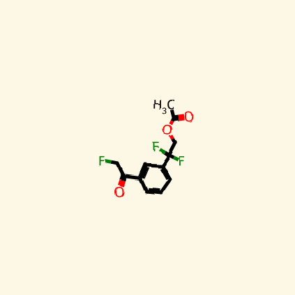 CC(=O)OCC(F)(F)c1cccc(C(=O)CF)c1